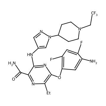 CCc1nc(C(N)=O)c(Nc2cnn(C3CCN(CC(F)(F)F)CC3)c2)nc1Oc1cc(N)c(F)cc1F